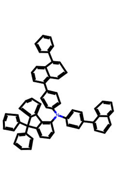 c1ccc(-c2cccc3c(-c4ccc(N(c5ccc(-c6cccc7ccccc67)cc5)c5cccc6c5-c5ccccc5C6(c5ccccc5)c5ccccc5)cc4)cccc23)cc1